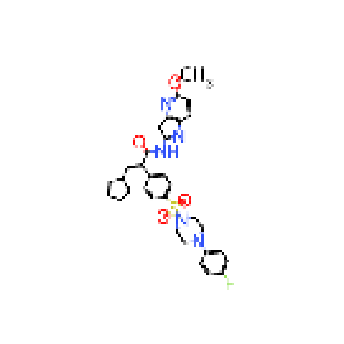 COc1ccc2c(n1)CC(NC(=O)C(CC1CCCC1)c1ccc(S(=O)(=O)N3CCN(c4ccc(F)cc4)CC3)cc1)=N2